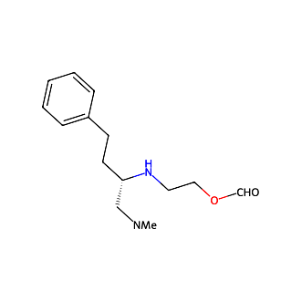 CNC[C@H](CCc1ccccc1)NCCOC=O